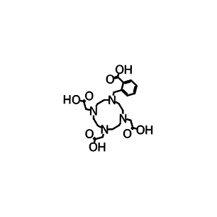 O=C(O)CN1CCN(CC(=O)O)CCN(Cc2ccccc2C(=O)O)CCN(CC(=O)O)CC1